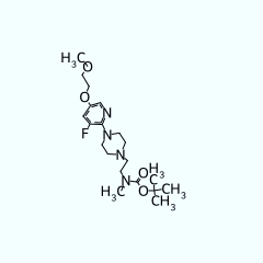 COCCOc1cnc(N2CCN(CCN(C)C(=O)OC(C)(C)C)CC2)c(F)c1